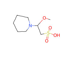 COC(CS(=O)(=O)O)N1CCCCC1